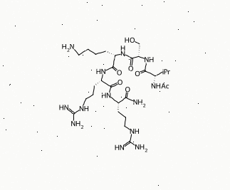 CC(=O)N[C@H](C(=O)N[C@@H](CO)C(=O)N[C@@H](CCCCN)C(=O)N[C@@H](CCCNC(=N)N)C(=O)N[C@@H](CCCNC(=N)N)C(N)=O)C(C)C